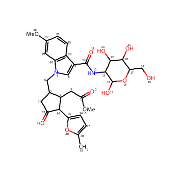 COC(=O)CC1C(Cn2cc(C(=O)NC3C(O)OC(CO)C(O)C3O)c3ccc(OC)cc32)CC(=O)C1c1ccc(C)o1